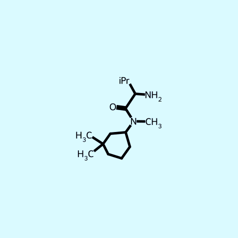 CC(C)C(N)C(=O)N(C)C1CCCC(C)(C)C1